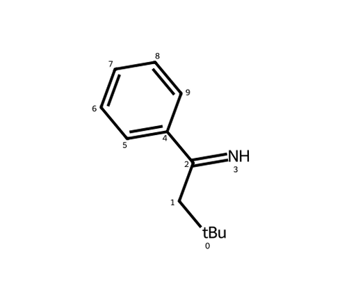 CC(C)(C)CC(=N)c1ccccc1